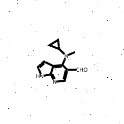 CN(c1c(C=O)cnc2[nH]ccc12)C1CC1